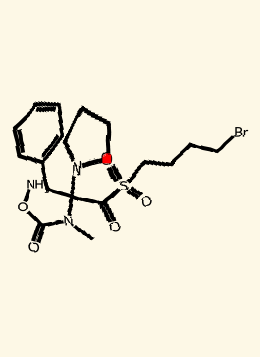 CN(C(=O)ON)C(Cc1ccccc1)(C(=O)S(=O)(=O)CCCCBr)N1CCCC1